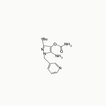 CC(C)(C)c1nn(Cc2cccnc2)c(N)c1OC(N)=O